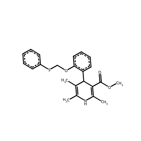 COC(=O)C1=C(C)NC(C)=C(C)C1c1ccccc1OCSc1ccccc1